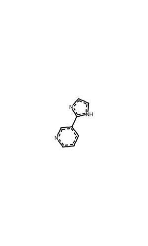 c1cncc(-c2ncc[nH]2)c1